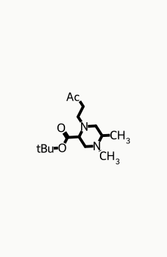 CC(=O)CCN1CC(C)N(C)CC1C(=O)OC(C)(C)C